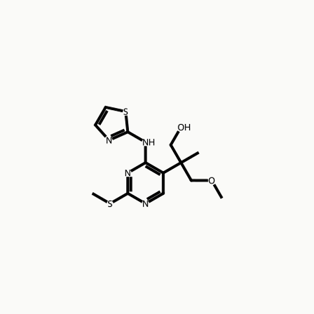 COCC(C)(CO)c1cnc(SC)nc1Nc1nccs1